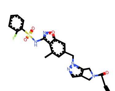 C#CC(=O)N1Cc2cnn(Cc3cc(C)c4c(NS(=O)(=O)c5ccccc5F)noc4c3)c2C1